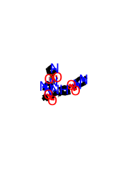 CN1CCN(C(=O)Oc2ccc(C[C@H](Nc3ncncc3N(C)S(=O)(=O)c3cccnc3)C(=O)OC(C)(C)C)cc2)CC1